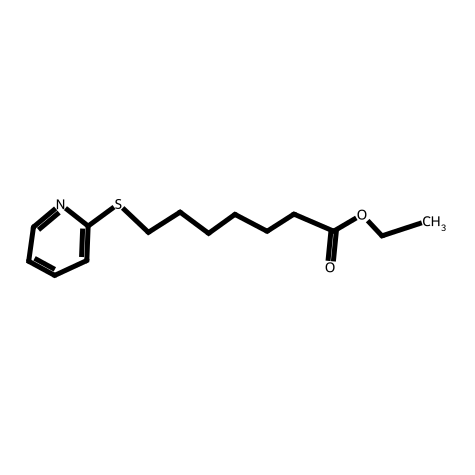 CCOC(=O)CCCCCCSc1ccccn1